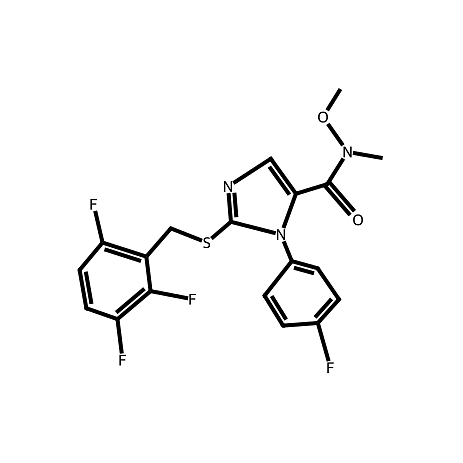 CON(C)C(=O)c1cnc(SCc2c(F)ccc(F)c2F)n1-c1ccc(F)cc1